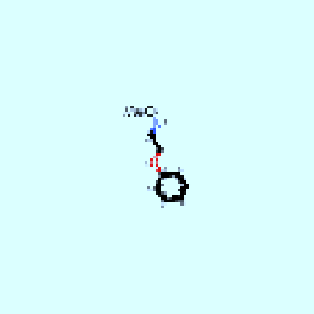 CON=CCOc1cc[c]cc1